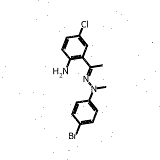 C/C(=N\N(C)c1ccc(Br)cc1)c1cc(Cl)ccc1N